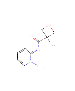 Cn1cccc/c1=N\C(=O)C1(C)COC1